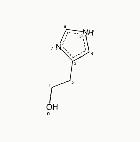 OCCc1c[nH]cn1